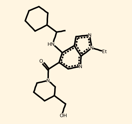 CCn1ncc2c(NC(C)C3CCCCC3)c(C(=O)N3CCCC(CO)C3)cnc21